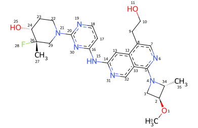 CO[C@H]1CN(c2ncc(CCO)c3cc(Nc4ccnc(N5CC[C@@H](O)[C@@](C)(F)C5)n4)ncc23)[C@@H]1C